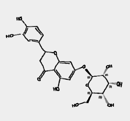 O=C1CC(c2ccc(O)c(O)c2)Oc2cc(O[C@@H]3O[C@H](CO)[C@@H](O)[C@@H](O)[C@H]3O)cc(O)c21